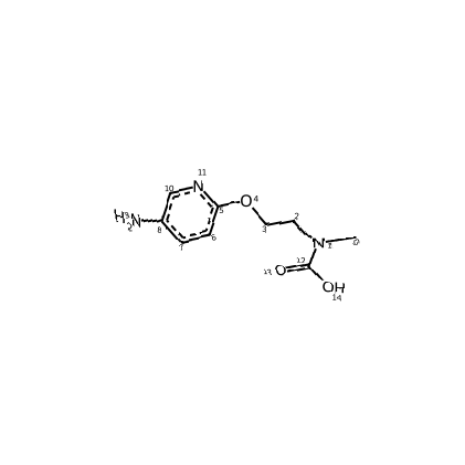 CN(CCOc1ccc(N)cn1)C(=O)O